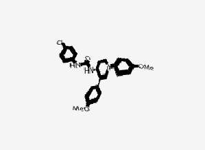 COc1ccc([C@@H]2CN(c3ccc(OC)cc3)CC[C@H]2NC(=O)Nc2ccc(Cl)cc2)cc1